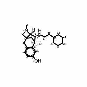 CN1CC23Cc4ccc(O)cc4[C@@](C)(C2)[C@H](NCCC2CCCCC2)[C@H]13